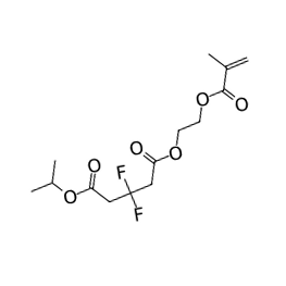 C=C(C)C(=O)OCCOC(=O)CC(F)(F)CC(=O)OC(C)C